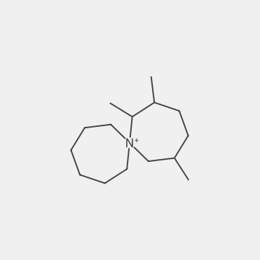 CC1CCC(C)C(C)[N+]2(CCCCCC2)C1